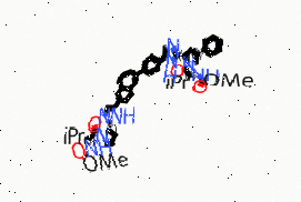 COC(=O)N[C@H](C(=O)N1CCC[C@H]1c1ncc(-c2ccc3c(c2)CC=CC(c2ccc(-c4cnc([C@@H]5C[C@H](c6ccccc6)CN5C(=O)[C@@H](NC(=O)OC)C(C)C)[nH]4)cc2)=C3)[nH]1)C(C)C